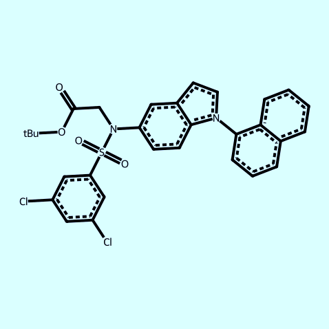 CC(C)(C)OC(=O)CN(c1ccc2c(ccn2-c2cccc3ccccc23)c1)S(=O)(=O)c1cc(Cl)cc(Cl)c1